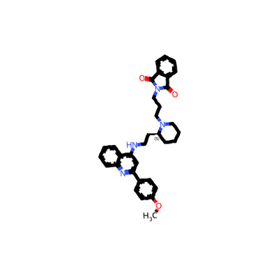 COc1ccc(-c2cc(NCC[C@@H]3CCCCN3CCCN3C(=O)c4ccccc4C3=O)c3ccccc3n2)cc1